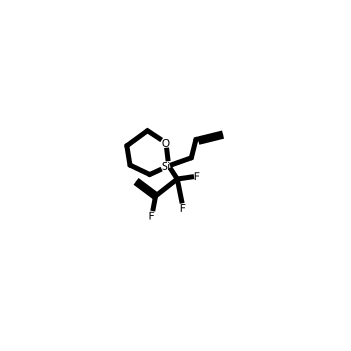 C=CC[Si]1(C(F)(F)C(=C)F)CCCCO1